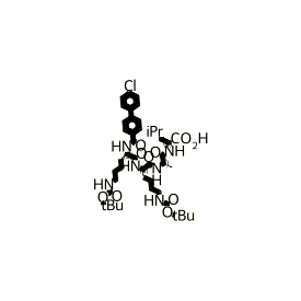 CC(C)C[C@H](NC(=O)[C@H](C)NC(=O)[C@H](CCCCNC(=O)OC(C)(C)C)NC(=O)[C@H](CCCCNC(=O)OC(C)(C)C)NC(=O)c1ccc(-c2ccc(Cl)cc2)cc1)C(=O)O